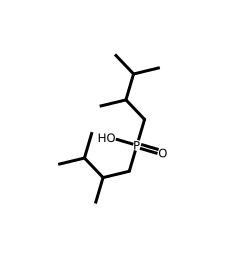 CC(C)C(C)CP(=O)(O)CC(C)C(C)C